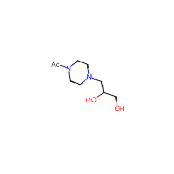 CC(=O)N1CCN(CC(O)CO)CC1